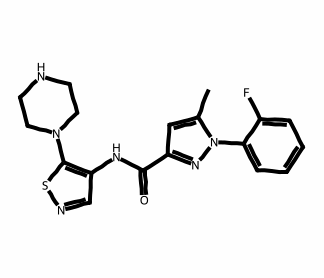 Cc1cc(C(=O)Nc2cnsc2N2CCNCC2)nn1-c1ccccc1F